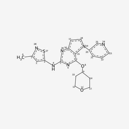 Cc1cc(Nc2nc(OC3CCOCC3)c3c(ccn3-c3cccnc3)n2)sn1